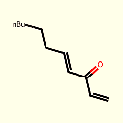 C=CC(=O)C=CCCCCCC